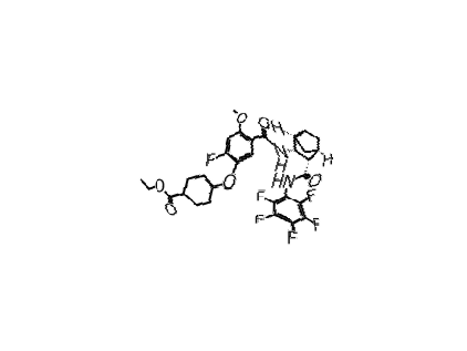 CCOC(=O)C1CCC(Oc2cc(C(=O)N[C@@H]3[C@H]4CC[C@H](C4)[C@@H]3C(=O)Nc3c(F)c(F)c(F)c(F)c3F)c(OC)cc2F)CC1